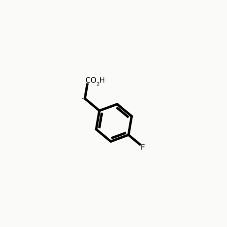 O=C(O)[CH]c1ccc(F)cc1